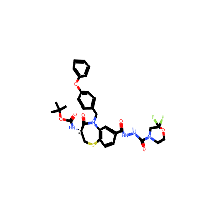 CC(C)(C)OC(=O)N[C@H]1CSc2ccc(C(=O)NNC(=O)N3CCOC(F)(F)C3)cc2N(Cc2ccc(Oc3ccccc3)cc2)C1=O